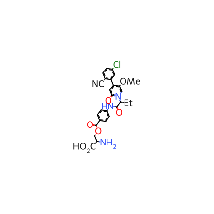 CCC(C(=O)Nc1ccc(C(=O)OCC(N)C(=O)O)cc1)n1cc(OC)c(-c2cc(Cl)ccc2C#N)cc1=O